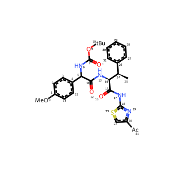 COc1ccc(C(NC(=O)OC(C)(C)C)C(=O)N[C@H](C(=O)Nc2nc(C(C)=O)cs2)[C@H](C)c2ccccc2)cc1